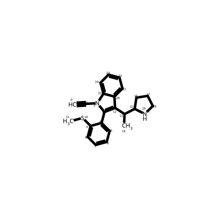 C#Cn1c(-c2ccccc2SC)c(C(C)C2CCCN2)c2ccccc21